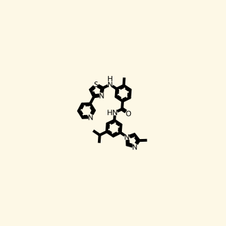 Cc1cn(-c2cc(NC(=O)c3ccc(C)c(Nc4nc(-c5cccnc5)cs4)c3)cc(C(C)C)c2)cn1